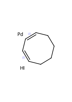 C1=C\CCCC\C=C/1.I.[Pd]